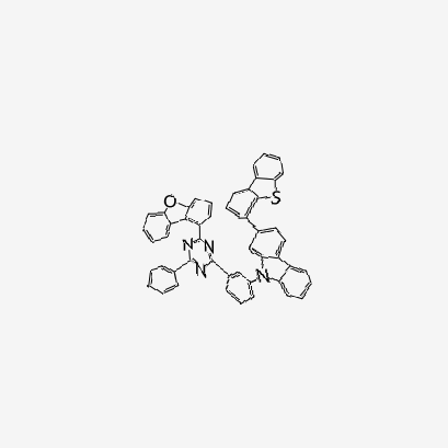 c1ccc(-c2nc(-c3cccc(-n4c5ccccc5c5ccc(-c6cccc7c6sc6ccccc67)cc54)c3)nc(-c3cccc4oc5ccccc5c34)n2)cc1